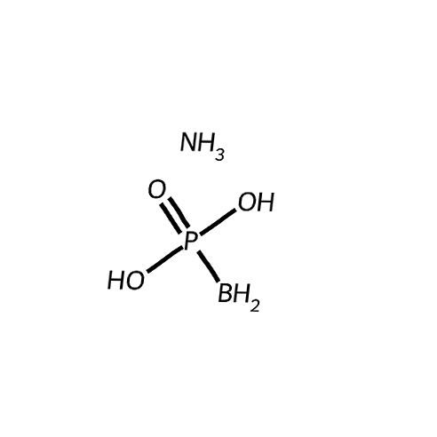 BP(=O)(O)O.N